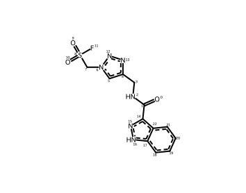 O=C(NCc1cn(CS(=O)(=O)F)nn1)c1n[nH]c2ccccc12